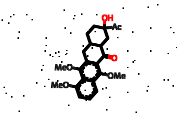 COc1c2c(c(OC)c3c(OC)cccc13)CC1CCC(O)(C(C)=O)CC1C2=O